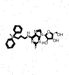 C[Si](CCCNc1nc(F)nc2c1ncn2[C@@H]1O[C@H](CO)[C@@H](O)[C@H]1O)(c1ccccc1)c1ccccc1